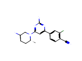 C[C@H]1CCC(N)CN1c1cc(-c2ccc(C#N)c(F)c2)nc(N)n1